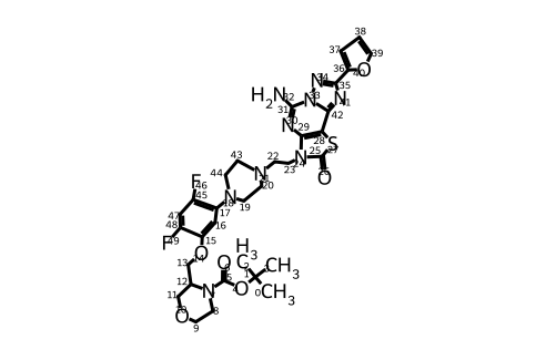 CC(C)(C)OC(=O)N1CCOCC1COc1cc(N2CCN(CCn3c(=O)sc4c3nc(N)n3nc(-c5ccco5)nc43)CC2)c(F)cc1F